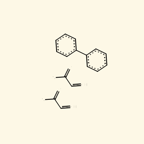 C=CC(N)=O.C=CC(N)=O.c1ccc(-c2ccccc2)cc1